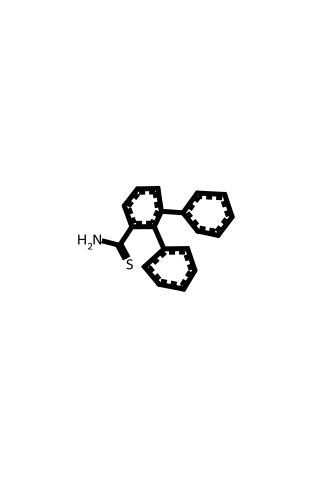 NC(=S)c1cccc(-c2ccccc2)c1-c1ccccc1